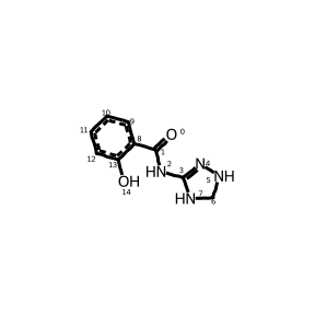 O=C(NC1=NNCN1)c1ccccc1O